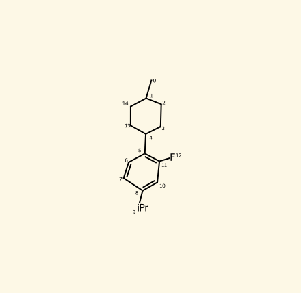 CC1CCC(c2ccc(C(C)C)cc2F)CC1